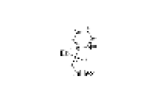 CCCCCCCC(C)(CC)c1ccccn1